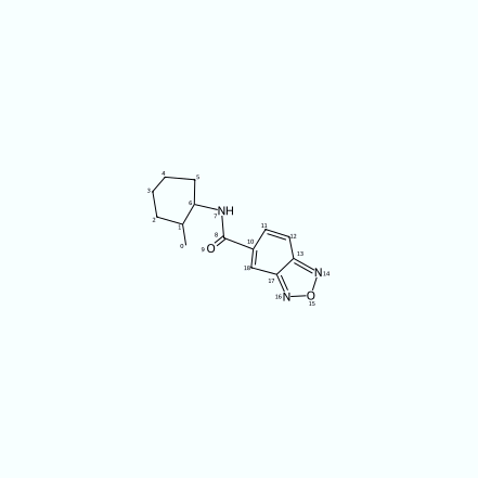 CC1CCCCC1NC(=O)c1ccc2nonc2c1